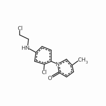 Cc1ccc(=O)n(-c2ccc(NCCCl)cc2Cl)c1